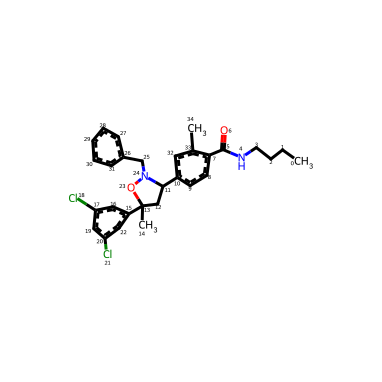 CCCCNC(=O)c1ccc(C2CC(C)(c3cc(Cl)cc(Cl)c3)ON2Cc2ccccc2)cc1C